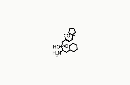 NC(CC1CCCCC1)P(=O)(O)CC(=CCC1CCCC1)C(=O)O